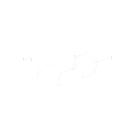 Cc1ccc(C(O)C[S+](N)[O-])nc1